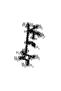 Cc1ccc(CCCC(=O)N[C@@H](CCCCNC(=O)CC[C@H](C(=O)OC(C)(C)C)N2CCN(CC(=O)OC(C)(C)C)CCN(CC(=O)OC(C)(C)C)CCN(CC(=O)OC(C)(C)C)CC2)C(=O)NCCOCCOCC(=O)N[C@H](CCC(=O)OC(C)(C)C)C(=O)N[C@H](CCC(=O)OC(C)(C)C)C(=O)N[C@H](CCC(=O)OC(C)(C)C)C(=O)NCCC(=O)O)cc1